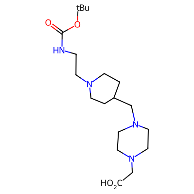 CC(C)(C)OC(=O)NCCN1CCC(CN2CCN(CC(=O)O)CC2)CC1